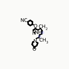 C=C(/C=C\C=C(/C)Cn1ccc(=O)cc1)c1[nH]ncc1Oc1ccc(C#N)cc1